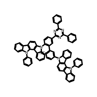 N#Cc1ccc(-n2c3ccccc3c3c2ccc2c4ccccc4n(-c4ccccc4)c23)cc1-c1cc(-c2nc(-c3ccccc3)nc(-c3ccccc3)n2)ccc1-n1c2ccccc2c2c1ccc1c3ccccc3n(-c3ccccc3)c12